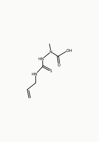 C=CCNC(=S)NN(C)C(=O)O